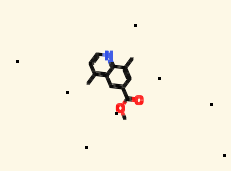 COC(=O)c1cc(C)c2nccc(C)c2c1